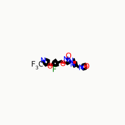 O=c1nc(OCc2ccc(Oc3ccnc(C(F)(F)F)c3)c(F)c2)cc2n1CC13CC(CN4CCOCC4)(CN21)C3